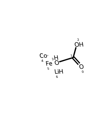 O=C(O)O.[Co].[Fe].[LiH]